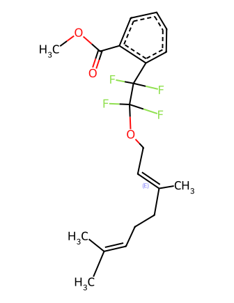 COC(=O)c1ccccc1C(F)(F)C(F)(F)OC/C=C(\C)CCC=C(C)C